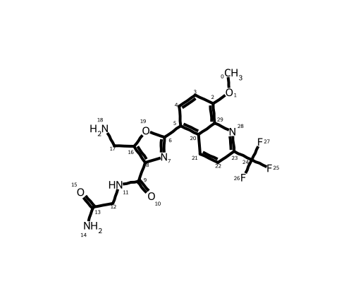 COc1ccc(-c2nc(C(=O)NCC(N)=O)c(CN)o2)c2ccc(C(F)(F)F)nc12